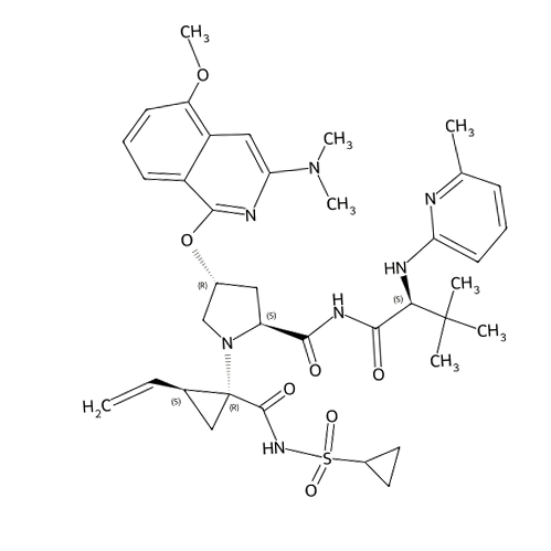 C=C[C@@H]1C[C@@]1(C(=O)NS(=O)(=O)C1CC1)N1C[C@H](Oc2nc(N(C)C)cc3c(OC)cccc23)C[C@H]1C(=O)NC(=O)[C@@H](Nc1cccc(C)n1)C(C)(C)C